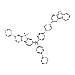 CC1(C)c2cc(-c3ccccc3)ccc2-c2ccc(N(c3ccc(-c4ccccc4)cc3)c3ccc(-c4ccc(-c5ccc6oc7ccccc7c6c5)cc4)cc3)cc21